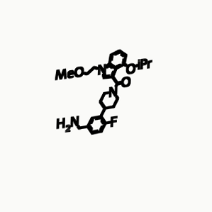 COCCn1cc(C(=O)N2CCC(c3cc(CN)ccc3F)CC2)c2c(OC(C)C)cccc21